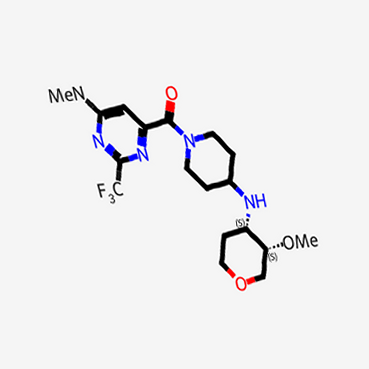 CNc1cc(C(=O)N2CCC(N[C@H]3CCOC[C@H]3OC)CC2)nc(C(F)(F)F)n1